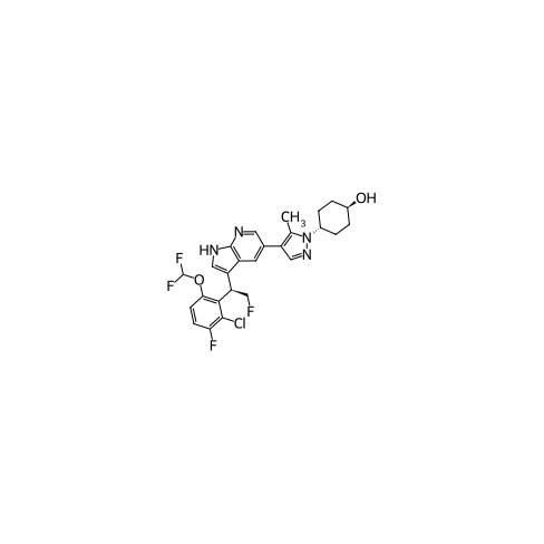 Cc1c(-c2cnc3[nH]cc([C@@H](CF)c4c(OC(F)F)ccc(F)c4Cl)c3c2)cnn1[C@H]1CC[C@H](O)CC1